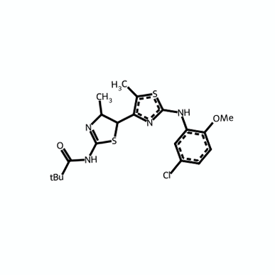 COc1ccc(Cl)cc1Nc1nc(C2SC(NC(=O)C(C)(C)C)=NC2C)c(C)s1